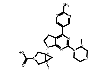 C[C@H]1COCCN1c1nc(-c2cnc(N)nc2)c2c(n1)N([C@]13C[C@H]1CN(C(=O)O)C3)CC2